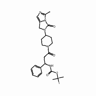 Cc1ncc2n1C(=O)N(C1CCN(C(=O)CC(NC(=O)OC(C)(C)C)c3ccccc3)CC1)C2